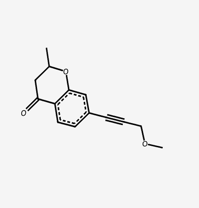 COCC#Cc1ccc2c(c1)OC(C)CC2=O